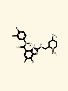 CC1CCN(C)C(CNc2nc3c(F)c(F)cc(C(=N)N(O)c4ccc(F)c(Cl)c4)c3[nH]2)C1